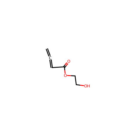 C=C=CC(=O)OCCO